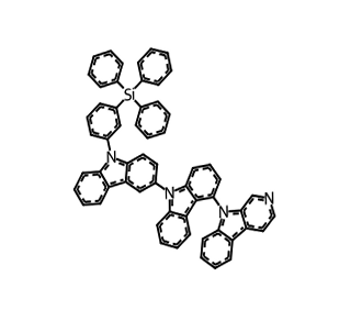 c1ccc([Si](c2ccccc2)(c2ccccc2)c2cccc(-n3c4ccccc4c4cc(-n5c6ccccc6c6c(-n7c8ccccc8c8ccncc87)cccc65)ccc43)c2)cc1